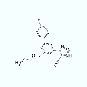 CCCOCc1cc(-c2ccc(F)cc2)cc(-c2nn[nH]c2C#N)c1